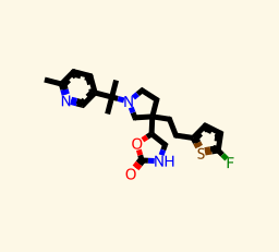 Cc1ccc(C(C)(C)N2CCC(CCc3ccc(F)s3)(C3CNC(=O)O3)C2)cn1